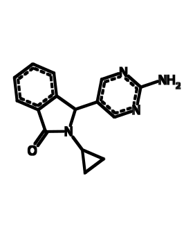 Nc1ncc(C2c3ccccc3C(=O)N2C2CC2)cn1